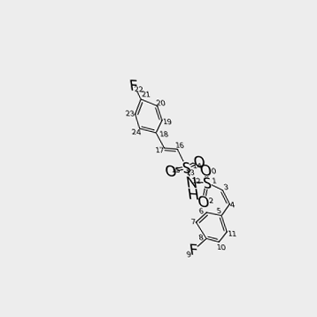 O=S(=O)(/C=C\c1ccc(F)cc1)NS(=O)(=O)/C=C/c1ccc(F)cc1